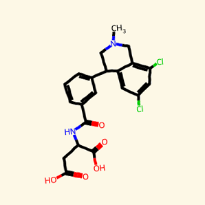 CN1Cc2c(Cl)cc(Cl)cc2C(c2cccc(C(=O)NC(CC(=O)O)C(=O)O)c2)C1